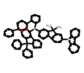 CC1(C)c2cc(N(c3ccccc3-c3ccc(-c4ccccc4)cc3)c3cccc4c3-c3ccccc3C4(c3ccccc3)c3ccccc3)ccc2-c2ccc(-n3c4ccccc4c4ccccc43)cc21